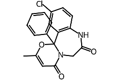 CC1=CC(=O)N2CC(=O)Nc3ccc(Cl)cc3C2(c2ccccc2)O1